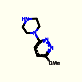 COc1ccc(N2CCNCC2)nn1